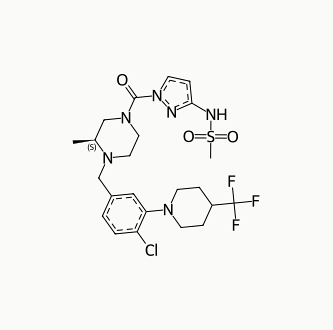 C[C@H]1CN(C(=O)n2ccc(NS(C)(=O)=O)n2)CCN1Cc1ccc(Cl)c(N2CCC(C(F)(F)F)CC2)c1